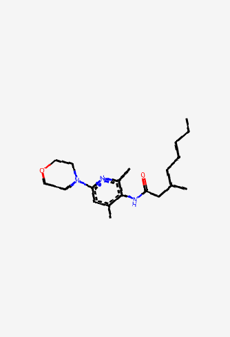 CCCCCC(C)CC(=O)Nc1c(C)cc(N2CCOCC2)nc1C